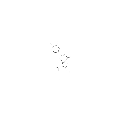 CCOC(=O)c1c(C)nn2c(=O)cc(-c3cc(F)c(Cl)nc3Cl)[nH]c12